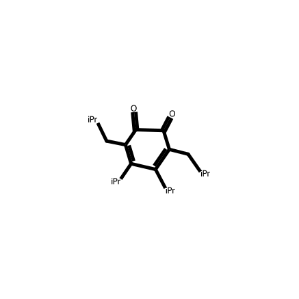 CC(C)CC1=C(C(C)C)C(C(C)C)=C(CC(C)C)C(=O)C1=O